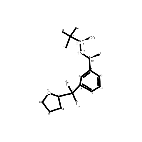 C[C@H](N[S@+]([O-])C(C)(C)C)c1cccc(C(F)(F)C2CCCO2)c1